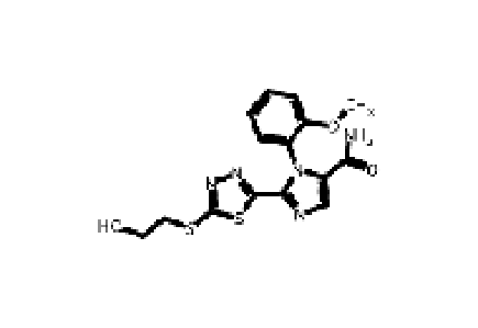 COc1ccccc1-n1c(C(N)=O)cnc1-c1nnc(SCCO)s1